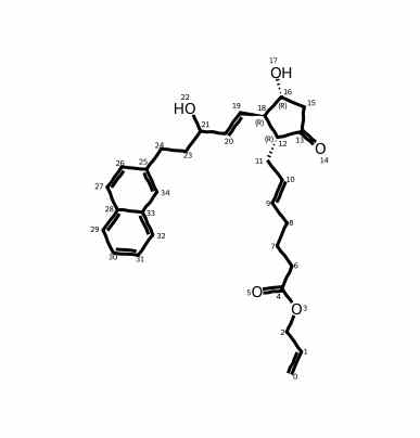 C=CCOC(=O)CCCC=CC[C@H]1C(=O)C[C@@H](O)[C@@H]1C=CC(O)CCc1ccc2ccccc2c1